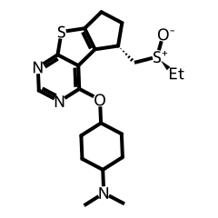 CC[S@+]([O-])C[C@H]1CCc2sc3ncnc(OC4CCC(N(C)C)CC4)c3c21